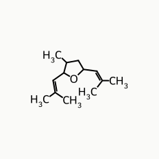 CC(C)=CC1CC(C)C(C=C(C)C)O1